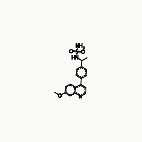 COc1ccc2c(-c3ccc(C(C)NS(N)(=O)=O)cc3)ccnc2c1